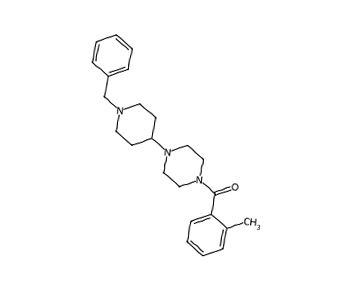 Cc1ccccc1C(=O)N1CCN(C2CCN(Cc3ccccc3)CC2)CC1